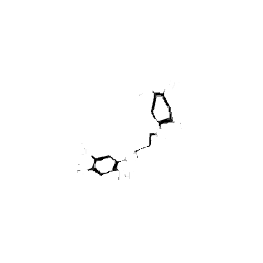 Brc1cc(Br)c(OCCCOc2cc(Br)c(Br)cc2Br)cc1Br